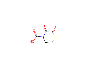 O=C1SCCN(C(=O)O)C1=O